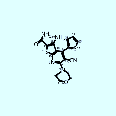 N#Cc1c(N2CCOCC2)nc2sc(C(N)=O)c(N)c2c1-c1cccs1